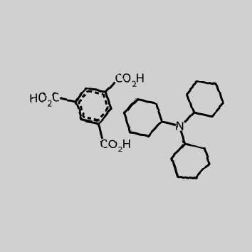 C1CCC(N(C2CCCCC2)C2CCCCC2)CC1.O=C(O)c1cc(C(=O)O)cc(C(=O)O)c1